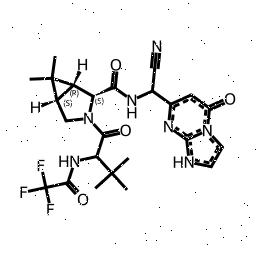 CC(C)(C)C(NC(=O)C(F)(F)F)C(=O)N1C[C@H]2[C@@H]([C@H]1C(=O)NC(C#N)c1cc(=O)n3cc[nH]c3n1)C2(C)C